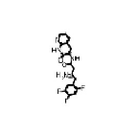 N[C@@H](CC(=O)N[C@@H]1Cc2cccnc2NC1=O)Cc1cc(F)c(F)cc1F